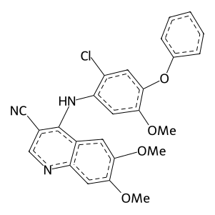 COc1cc2ncc(C#N)c(Nc3cc(OC)c(Oc4ccccc4)cc3Cl)c2cc1OC